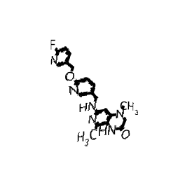 Cc1nc(NCc2ccc(OCc3ccc(F)nc3)nc2)cc2c1NC(=O)CN2C